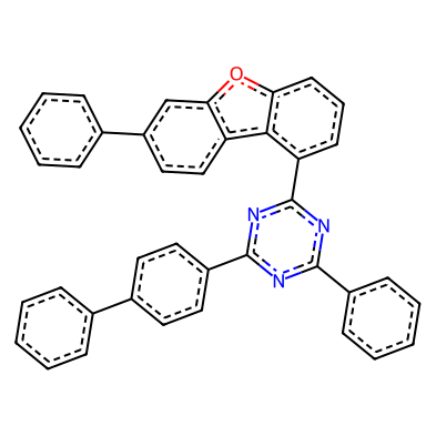 c1ccc(-c2ccc(-c3nc(-c4ccccc4)nc(-c4cccc5oc6cc(-c7ccccc7)ccc6c45)n3)cc2)cc1